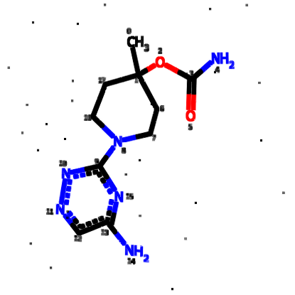 CC1(OC(N)=O)CCN(c2nncc(N)n2)CC1